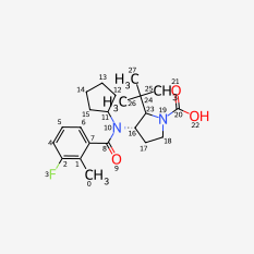 Cc1c(F)cccc1C(=O)N(C1CCCC1)[C@H]1CCN(C(=O)O)C1C(C)(C)C